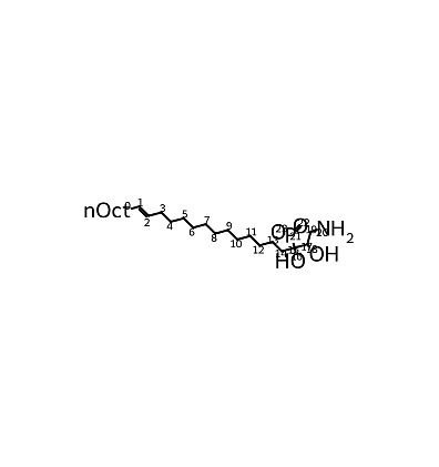 CCCCCCCCC=CCCCCCCCCCCCCC(O)(C(O)CN)P(=O)=O